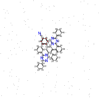 N#Cc1ccc(-c2ccc(-c3ccccc3-c3nc(-c4ccccc4)nc(-c4ccccc4)n3)c(-c3ccccc3-c3nc(-c4ccccc4)nc(-c4ccccc4)n3)c2)cc1